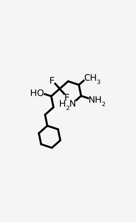 CC(CC(F)(F)C(O)CCC1CCCCC1)C(N)N